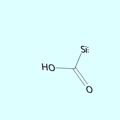 O=C(O)[Si]